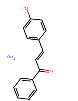 N.O=C(C=Cc1ccc(O)cc1)c1ccccc1